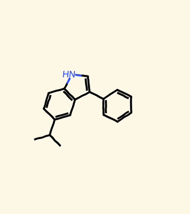 CC(C)c1ccc2[nH]cc(-c3ccccc3)c2c1